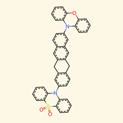 O=S1(=O)c2ccccc2N(c2ccc3c(c2)Cc2cc4ccc(N5c6ccccc6Oc6ccccc65)cc4cc2C3)c2ccccc21